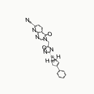 N#Cc1ccc2c(=O)n(Cc3nc([C@@H]4[C@H]5C=C(c6ccccc6)C[C@H]54)no3)cnc2n1